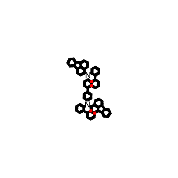 c1ccc(-c2ccccc2N(c2ccc(-c3ccc(N(c4ccccc4-c4ccccc4)c4ccc5c6c(cccc46)-c4ccccc4-5)cc3)cc2)c2ccc3c4c(cccc24)-c2ccccc2-3)cc1